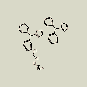 C1=CCC(P(c2ccccc2)c2ccccc2)=C1.C1=CCC(P(c2ccccc2)c2ccccc2)=C1.ClCCl.[Cl-].[Cl-].[Fe+2]